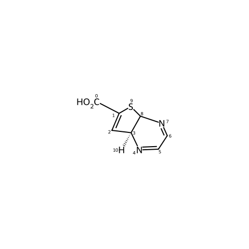 O=C(O)C1=C[C@@H]2N=CC=NC2S1